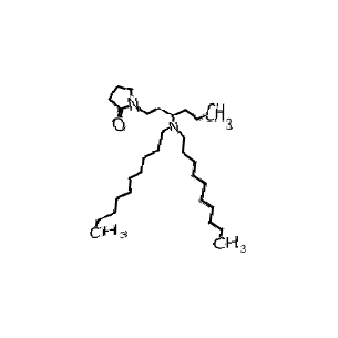 CCCCCCCCCCN(CCCCCCCCCC)C(CCC)CCN1CCCC1=O